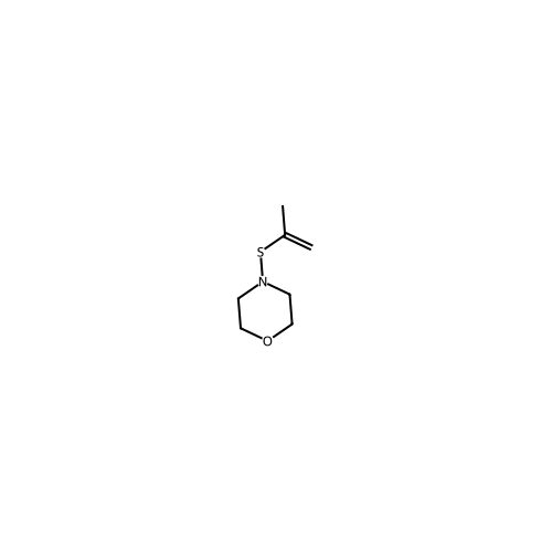 C=C(C)SN1CCOCC1